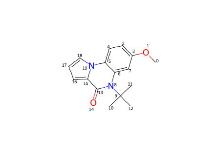 COc1ccc2c(c1)n(C(C)(C)C)c(=O)c1cccn12